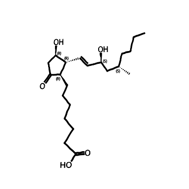 CCCC[C@H](C)C[C@H](O)C=C[C@H]1[C@H](O)CC(=O)[C@@H]1CCCCCCC(=O)O